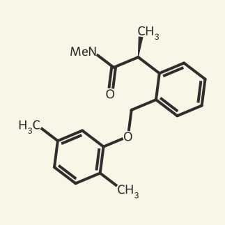 CNC(=O)[C@@H](C)c1ccccc1COc1cc(C)ccc1C